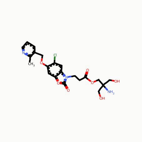 Cc1ncccc1COc1cc2oc(=O)n(CCC(=O)OCC(N)(CO)CO)c2cc1Cl